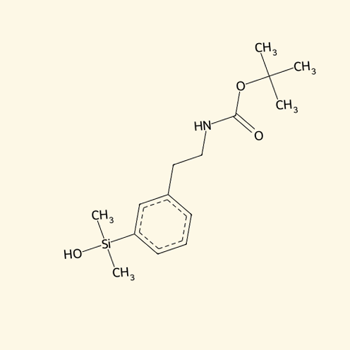 CC(C)(C)OC(=O)NCCc1cccc([Si](C)(C)O)c1